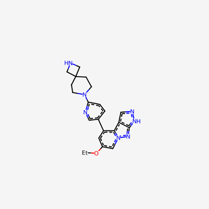 CCOc1cc(-c2ccc(N3CCC4(CC3)CNC4)nc2)c2c3cn[nH]c3nn2c1